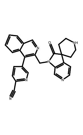 N#Cc1ccc(-c2c(CN3C(=O)C4(CCNCC4)c4ccncc43)ncc3ccccc23)cn1